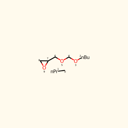 CCCC.CCCCOCOCC1CO1